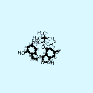 CC(C)(C)[Si](C)(C)Oc1cc(F)cc2[nH]ncc12.Oc1cc(F)cc2[nH]ncc12